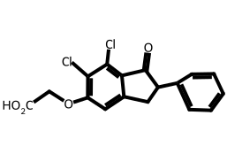 O=C(O)COc1cc2c(c(Cl)c1Cl)C(=O)C(c1ccccc1)C2